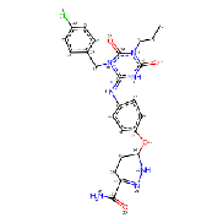 CCCn1c(=O)[nH]/c(=N\c2ccc(OC3CCC(C(N)=O)=NN3)cc2)n(Cc2ccc(Cl)cc2)c1=O